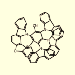 N#Cc1c(-n2c3ccccc3c3ccccc32)c(-n2c3ccccc3c3ccccc32)c(-n2c3ccccc3c3ccccc32)c(C#N)c1-n1c2ccccc2c2ccc3oc4ccccc4c3c21